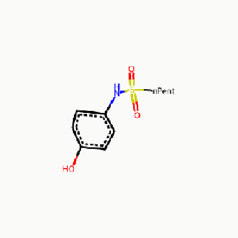 CCCCCS(=O)(=O)Nc1ccc(O)cc1